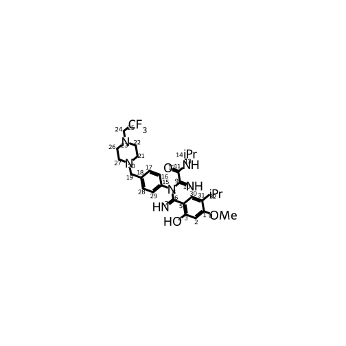 COc1cc(O)c(C(=N)N(C(=N)C(=O)NC(C)C)c2ccc(CN3CCN(CC(F)(F)F)CC3)cc2)cc1C(C)C